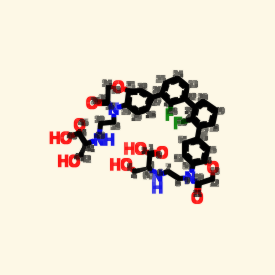 O=C(O)[C@H](CO)NCCN1C(=O)COc2cc(-c3cccc(-c4cccc(-c5ccc6c(c5)OCC(=O)N6CCN[C@@H](CO)C(=O)O)c4F)c3F)ccc21